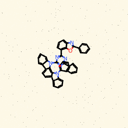 c1ccc(-c2nc(-c3cccc4nc(-c5ccccc5)oc34)nc(-n3c4ccccc4c4ccc5c6ccccc6n(-c6ccccc6)c5c43)n2)cc1